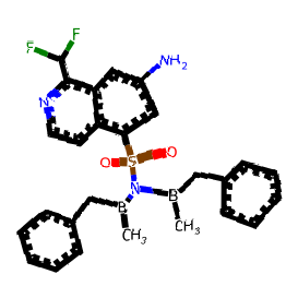 CB(Cc1ccccc1)N(B(C)Cc1ccccc1)S(=O)(=O)c1cc(N)cc2c(C(F)F)nccc12